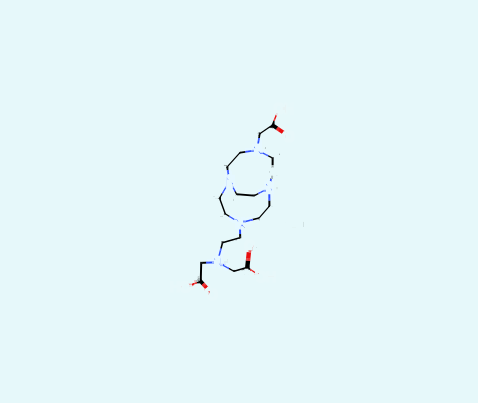 O=C(O)CN1CCN2CCN(CCN(CCN(CC(=O)O)CC(=O)O)CC2)CC1.[Lu]